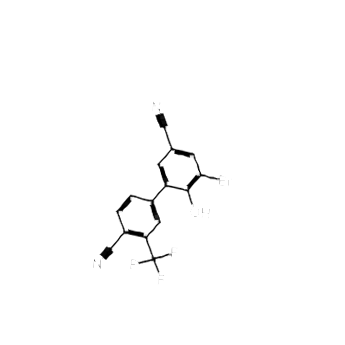 N#Cc1cc(Br)c(O)c(-c2ccc(C#N)c(C(F)(F)F)c2)c1